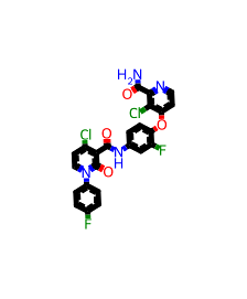 NC(=O)c1nccc(Oc2ccc(NC(=O)c3c(Cl)ccn(-c4ccc(F)cc4)c3=O)cc2F)c1Cl